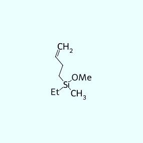 C=CCC[Si](C)(CC)OC